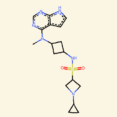 CN(c1ncnc2[nH]ccc12)C1CC(NS(=O)(=O)C2CN(C3CC3)C2)C1